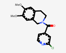 COc1cc2c(cc1OC)CN(C(=O)c1ccnc(Cl)c1)CC2